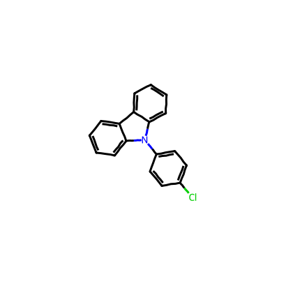 Clc1ccc(-n2c3ccccc3c3ccccc32)cc1